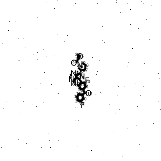 Nc1ncnc2c1c(-c1ccc(C(=O)c3cccc(F)c3)cc1F)nn2C1CCCN(C(=O)C2CO2)C1